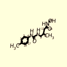 Cc1ccc(NC(=O)NCC(C)CC(=O)NO)cc1